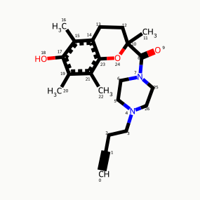 C#CCCN1CCN(C(=O)C2(C)CCc3c(C)c(O)c(C)c(C)c3O2)CC1